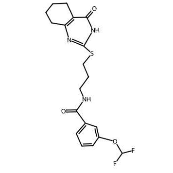 O=C(NCCCSc1nc2c(c(=O)[nH]1)CCCC2)c1cccc(OC(F)F)c1